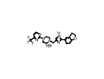 Br.FC(F)(F)c1ccnc(N2CCN(Cc3c[nH]c(-c4ccc5c(c4)CCO5)n3)CC2)n1